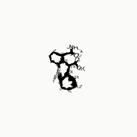 NC(=O)c1cccc2nc3ccccc3c(C(=O)O)c12